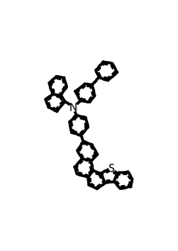 c1ccc(-c2ccc(N(c3ccc(-c4ccc5c(ccc6ccc7c8ccccc8sc7c65)c4)cc3)c3cccc4ccccc34)cc2)cc1